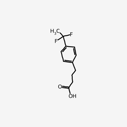 CC(F)(F)c1ccc(CCCC(=O)O)cc1